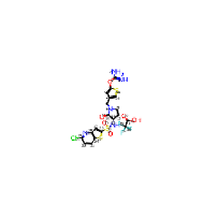 N=C(N)Oc1cc(CN2CC[C@H](NS(=O)(=O)c3cc4nc(Cl)ccc4s3)C2=O)cs1.O=C(O)C(F)(F)F